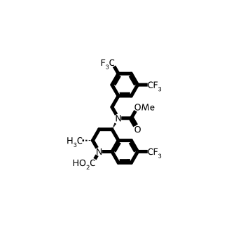 COC(=O)N(Cc1cc(C(F)(F)F)cc(C(F)(F)F)c1)[C@H]1C[C@@H](C)N(C(=O)O)c2ccc(C(F)(F)F)cc21